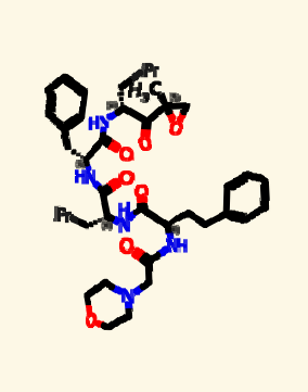 CC(C)C[C@@H](NC(=O)[C@@H](CCc1ccccc1)NC(=O)CN1CCOCC1)C(=O)N[C@H](Cc1ccccc1)C(=O)N[C@H](CC(C)C)C(=O)[C@]1(C)CO1